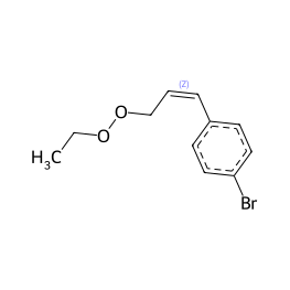 CCOOC/C=C\c1ccc(Br)cc1